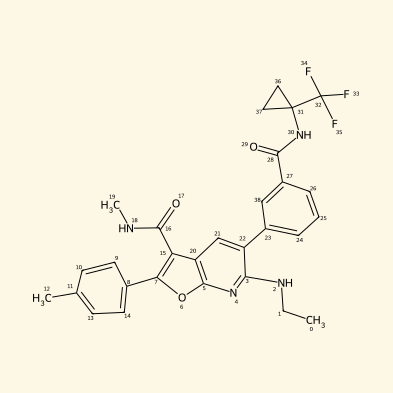 CCNc1nc2oc(-c3ccc(C)cc3)c(C(=O)NC)c2cc1-c1cccc(C(=O)NC2(C(F)(F)F)CC2)c1